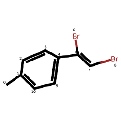 Cc1ccc(C(Br)=CBr)cc1